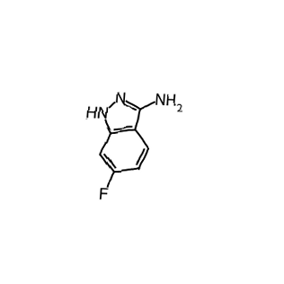 Nc1n[nH]c2cc(F)ccc12